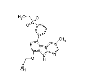 C#CCOc1ccc(-c2cccc(S(=O)(=O)CC)c2)c2c1[nH]c1ncc(C)cc12